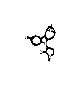 CN1CCC(n2c3c(c4cc(Cl)ccc42)C2CCC(C3)N2C)C1=O